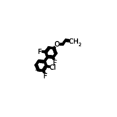 C=CCOc1cc(F)c(-c2cc[c]c(F)c2Cl)c(F)c1